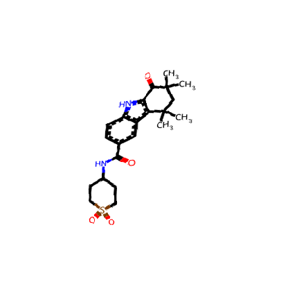 CC1(C)CC(C)(C)c2c([nH]c3ccc(C(=O)NC4CCS(=O)(=O)CC4)cc23)C1=O